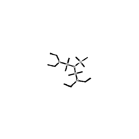 CCN(CC)[Si](C)(C)N([Si](C)(C)C)[Si](C)(C)N(CC)CC